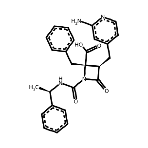 C[C@@H](NC(=O)N1C(=O)[C@H](Cc2ccnc(N)c2)[C@@]1(Cc1ccccc1)C(=O)O)c1ccccc1